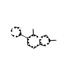 O=C(O)c1cn2c(Cl)c(-c3nnn[nH]3)ccc2n1